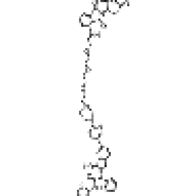 O=C1CCC(N2C(=O)c3cccc(NCCOCCOCCOCCN4CCN(c5ccc(-c6ccc7c(c6)C(O)N(C(C(=O)Nc6nccs6)c6ccccc6)C7)cn5)CC4)c3C2=O)C(=O)N1